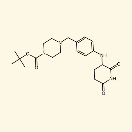 CC(C)(C)OC(=O)N1CCN(Cc2ccc(NC3CCC(=O)NC3=O)cc2)CC1